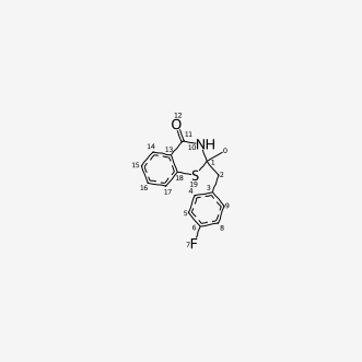 CC1(Cc2ccc(F)cc2)NC(=O)c2ccccc2S1